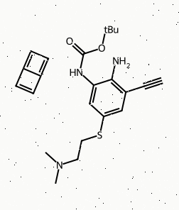 C#Cc1cc(SCCN(C)C)cc(NC(=O)OC(C)(C)C)c1N.c1cc2ccc1-2